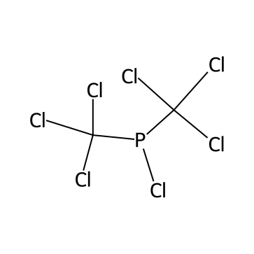 ClP(C(Cl)(Cl)Cl)C(Cl)(Cl)Cl